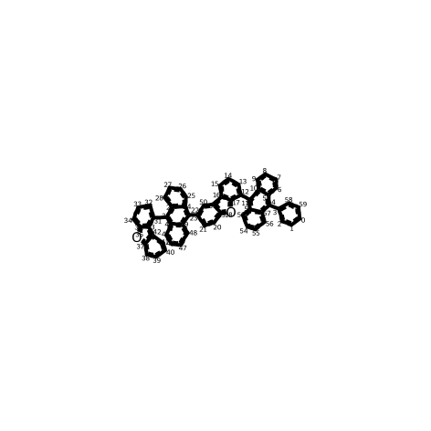 c1ccc(-c2c3ccccc3c(-c3cccc4c3oc3ccc(-c5c6ccccc6c(-c6cccc7oc8ccccc8c67)c6ccccc56)cc34)c3ccccc23)cc1